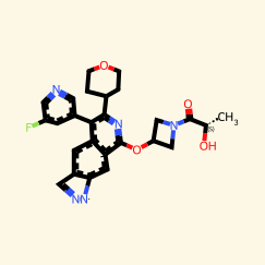 C[C@H](O)C(=O)N1CC(Oc2nc(C3CCOCC3)c(-c3cncc(F)c3)c3cc4c(cc23)[N]N=C4)C1